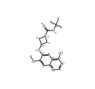 COc1cc2ncnc(Cl)c2cc1OC1CN(C(=O)OC(C)(C)C)C1